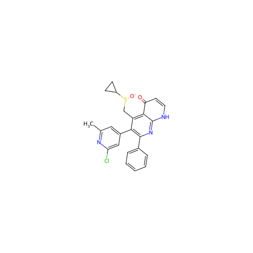 Cc1cc(-c2c(-c3ccccc3)nc3[nH]ccc(=O)c3c2C[S+]([O-])C2CC2)cc(Cl)n1